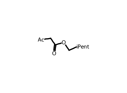 CCCC(C)COC(=O)CC(C)=O